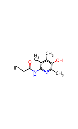 Cc1nc(NC(=O)CC(C)C)c(C)c(C)c1O